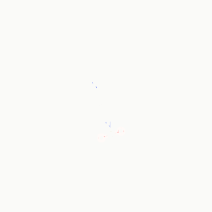 CCN1CCC2(CC1)CCN(S(C)(=O)=O)CC2